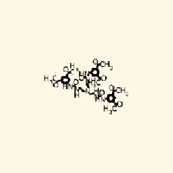 CC(=O)c1cc(NC(=O)NCCN(CCNC(=O)Nc2cc(C(C)=O)cc(C(C)=O)c2)CCNC(=O)Nc2cc(C(C)=O)cc(C(C)=O)c2)cc(C(C)=O)c1